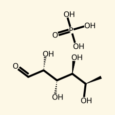 C[C@@H](O)[C@H](O)[C@H](O)[C@@H](O)C=O.O=P(O)(O)O